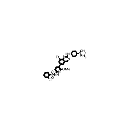 CCc1cc(-c2ccc(NS(=O)(=O)c3ccccc3Cl)nc2OC)cc2cnc(N[C@H]3CC[C@H](N(C)C)CC3)nc12